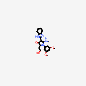 CNC1=C(c2nc3ccccc3[nH]2)C(=O)C(CCO)N1c1cc(OC)cc(OC)c1